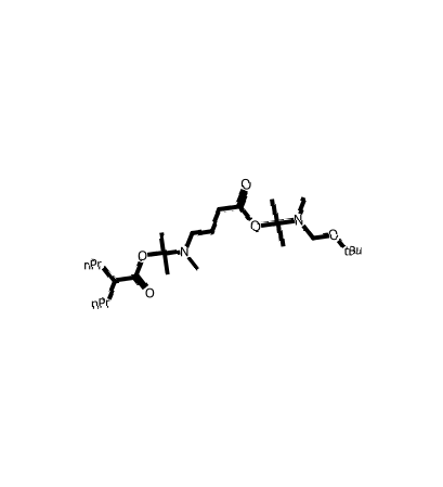 CCCC(CCC)C(=O)OC(C)(C)N(C)CCCC(=O)OC(C)(C)N(C)COC(C)(C)C